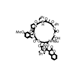 CC[C@H](C)[C@H]1NC(=O)[C@@H](NC(=O)[C@@H](CC(C)C)N(C)C(=O)C2C=C3C=CC=CC3OC2=O)[C@@H](C)OC(=O)[C@H](Cc2ccc(OC)cc2)N(C)C(=O)[C@@H]2CCCN2C(=O)[C@H](CC(C)C)NC(=O)[C@@H](C)C(=O)[C@H](C(C)C)OC(=O)C[C@@H]1O